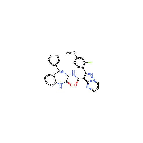 COc1ccc(-c2nn3cccnc3c2C(=O)N[C@H]2N=C(c3ccccc3)c3ccccc3NC2=O)c(F)c1